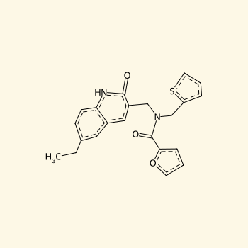 CCc1ccc2[nH]c(=O)c(CN(Cc3cccs3)C(=O)c3ccco3)cc2c1